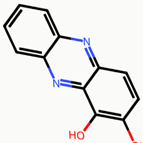 Oc1ccc2nc3ccccc3nc2c1O